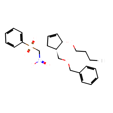 CCCCO[C@H]1C=C[C@@H](C([N+](=O)[O-])S(=O)(=O)c2ccccc2)[C@@H]1COCc1ccccc1